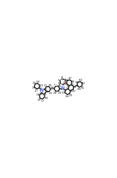 C1=CCC2C(=C1)c1cc(-c3ccc4c(c3)c3ccccc3n4-c3ccccc3)ccc1N2c1cccc2cc(-c3ccccc3)c3ccccc3c12